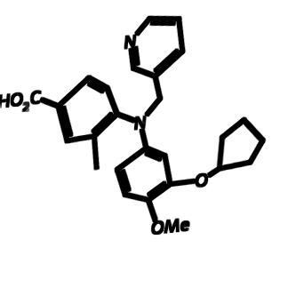 COc1ccc(N(Cc2cccnc2)c2ccc(C(=O)O)cc2C)cc1OC1CCCC1